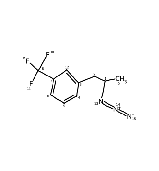 CC(Cc1cccc(C(F)(F)F)c1)N=[N+]=[N-]